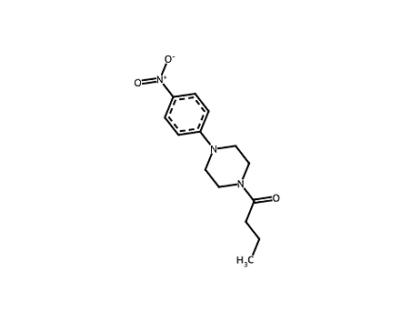 CCCC(=O)N1CCN(c2ccc([N+](=O)[O-])cc2)CC1